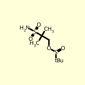 CC(C)(C)S(=O)OCC(C)(C)S(N)(=O)=O